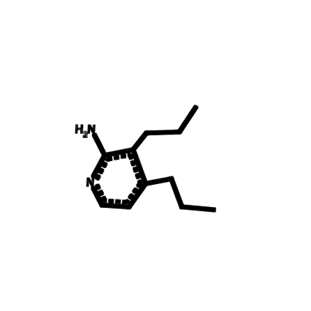 CCCc1ccnc(N)c1CCC